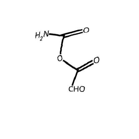 NC(=O)OC(=O)C=O